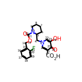 O=C(O)c1cn(CC2CCCCN2C(=O)OCc2ccccc2F)cc(O)c1=O